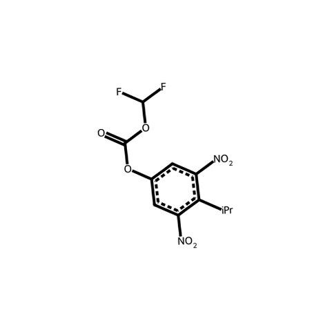 CC(C)c1c([N+](=O)[O-])cc(OC(=O)OC(F)F)cc1[N+](=O)[O-]